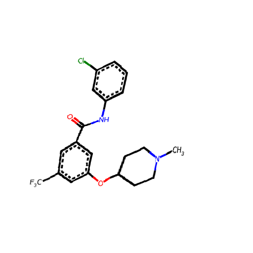 CN1CCC(Oc2cc(C(=O)Nc3cccc(Cl)c3)cc(C(F)(F)F)c2)CC1